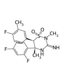 Cc1cc([C@@H]2[C@@](C)(c3ccc(F)cc3F)NC(=N)N(C)S2(=O)=O)ccc1F